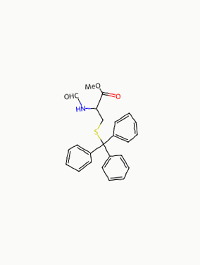 COC(=O)C(CSC(c1ccccc1)(c1ccccc1)c1ccccc1)NC=O